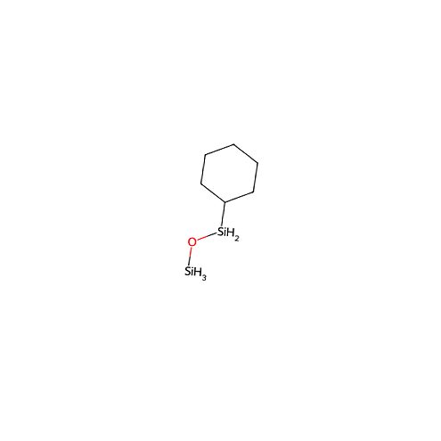 [SiH3]O[SiH2]C1CCCCC1